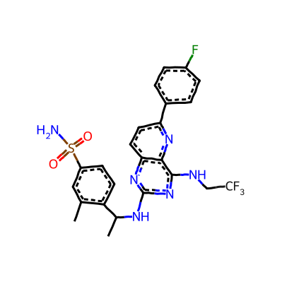 Cc1cc(S(N)(=O)=O)ccc1C(C)Nc1nc(NCC(F)(F)F)c2nc(-c3ccc(F)cc3)ccc2n1